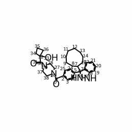 O=C(c1ccc(C2(C3CCCCCCCC3)NNc3ccccc32)cc1)N1CCN(C(=O)C2(O)CCC2)CC1